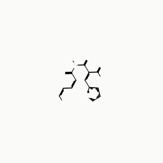 C=C(/C=C\C=C/C)N(C)C(=O)/C(=C/c1ccco1)C(=O)O